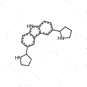 c1cc2[nH]c3ccc(C4CCCN4)cc3c2cc1C1CCCN1